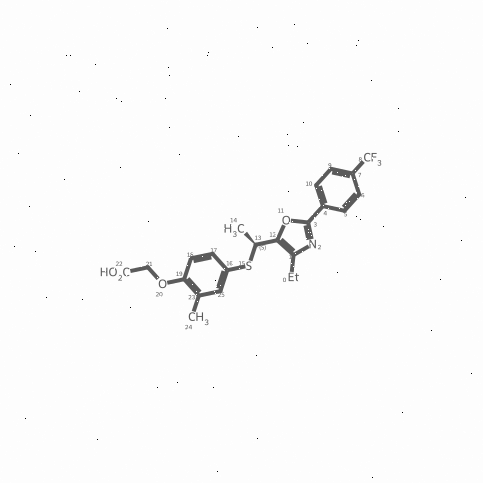 CCc1nc(-c2ccc(C(F)(F)F)cc2)oc1[C@H](C)Sc1ccc(OCC(=O)O)c(C)c1